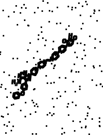 Nc1ncnc2c1c(-c1ccc(Oc3ccccc3)cc1)nn2C1CCN(C2CCN(CCN3CCN(c4ccc(N5CCC(=O)NC5=O)cc4)CC3)CC2)CC1